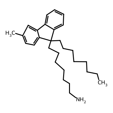 CCCCCCCCC1(CCCCCCCN)c2ccccc2-c2cc(C)ccc21